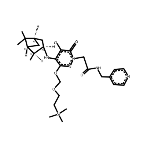 C[C@H]1[C@H]2C[C@H](C[C@H]1Nc1c(OCOCC[Si](C)(C)C)nn(CC(=O)NCc3ccncc3)c(=O)c1Cl)C2(C)C